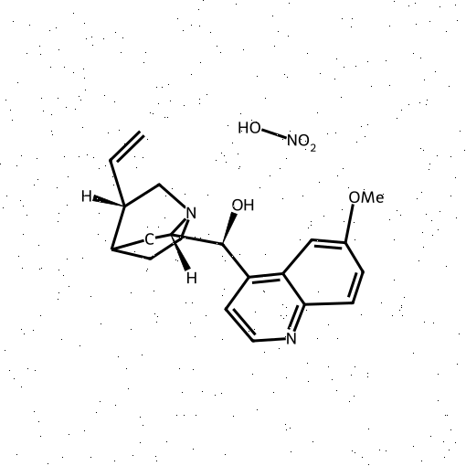 C=C[C@@H]1CN2CCC1C[C@H]2[C@@H](O)c1ccnc2ccc(OC)cc12.O=[N+]([O-])O